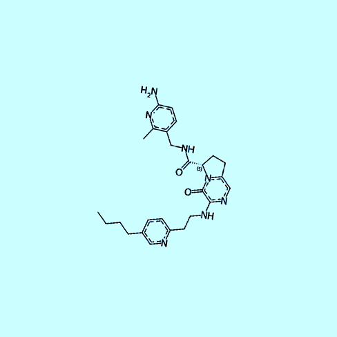 CCCCc1ccc(CCNc2ncc3n(c2=O)[C@H](C(=O)NCc2ccc(N)nc2C)CC3)nc1